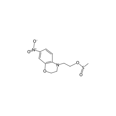 CS(=O)OCCN1CCOc2cc([N+](=O)[O-])ccc21